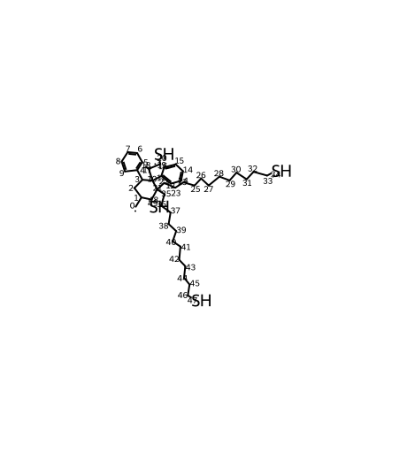 [CH2]C1CC(c2ccccc2)C(c2ccccc2)(C(C)[CH]S)C(CCCCCCCCCCCCS)(CCCCCCCCCCCCS)C1S